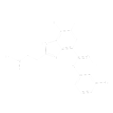 CN(C)CCc1nc2c(/C(=N/O)Nc3cccc(Br)c3)cc(F)c(F)c2[nH]1